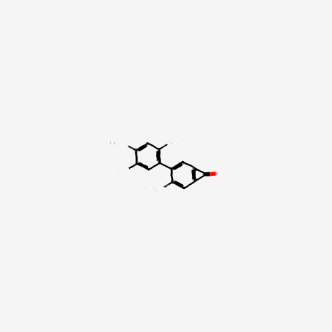 COc1cc(NC(C)=O)c(-c2cc3c(=O)c3cc2NC(C)=O)cc1C